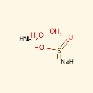 O.O.O=[SH]O.[NaH].[NaH]